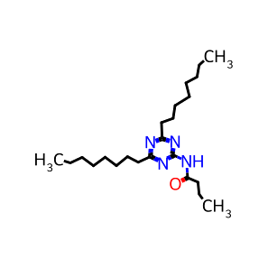 CCCCCCCCc1nc(CCCCCCCC)nc(NC(=O)CCC)n1